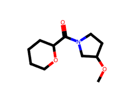 COC1CCN(C(=O)C2CCCCO2)C1